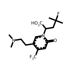 CN(C)CCc1cn(C(CC(C)(C)F)C(=O)O)c(=O)cc1C(F)(F)F